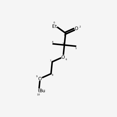 CCC(=O)C(C)(C)OCCOC(C)(C)C